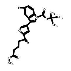 COC(=O)CCCC(=O)c1cc(-c2cn(C(=O)OC(C)(C)C)c3ccc(F)cc23)co1